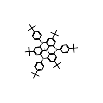 CC(C)(C)c1ccc(N2c3cc(C(C)(C)C)cc4c3P3(=S)c5c2cc(C(C)(C)C)cc5N(c2ccc(C(C)(C)C)cc2)c2cc(C(C)(C)C)cc(c23)N4c2ccc(C(C)(C)C)cc2)cc1